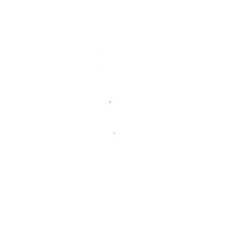 Cc1cccc(C(=O)N[C@@]23CCC[C@@](NC(=O)c4ccc(F)cc4)(CC2)C3)n1